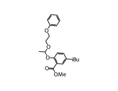 CCC(C)c1ccc(OC(C)OCCOc2ccccc2)c(C(=O)OC)c1